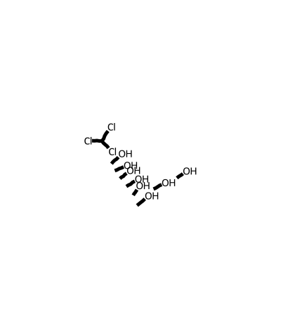 CO.CO.CO.CO.CO.CO.CO.CO.ClC(Cl)Cl